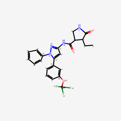 CCC1C(=O)NCC1C(=O)Nc1cc(-c2cccc(OC(F)(F)F)c2)n(-c2ccccc2)n1